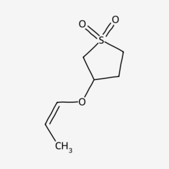 C/C=C\OC1CCS(=O)(=O)C1